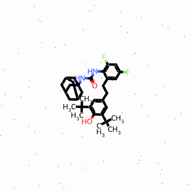 CC(C)(C)c1cc(CCc2cc(F)cc(F)c2NC(=O)NC23CC4CC(CC(C4)C2)C3)cc(C(C)(C)C)c1O